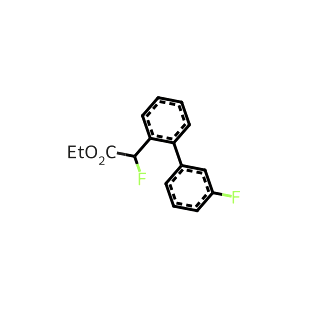 CCOC(=O)C(F)c1ccccc1-c1cccc(F)c1